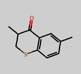 Cc1ccc2c(c1)C(=O)C(C)CS2